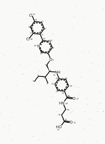 CCC(C)[C@@H](COc1cnc(-c2ccc(Cl)cc2Cl)nc1)Nc1ccc(C(=O)NCCC(=O)O)cc1